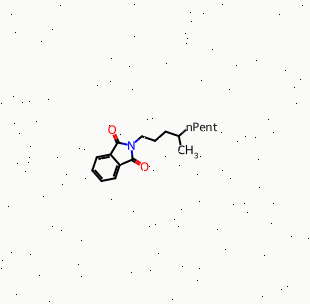 CCCCCC(C)CCCN1C(=O)c2ccccc2C1=O